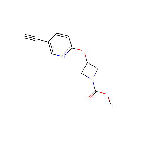 C#Cc1ccc(OC2CN(C(=O)OC(C)(C)C)C2)nc1